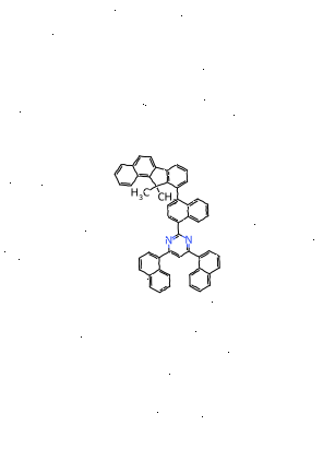 CC1(C)c2c(cccc2-c2ccc(-c3nc(-c4cccc5ccccc45)cc(-c4cccc5ccccc45)n3)c3ccccc23)-c2ccc3ccccc3c21